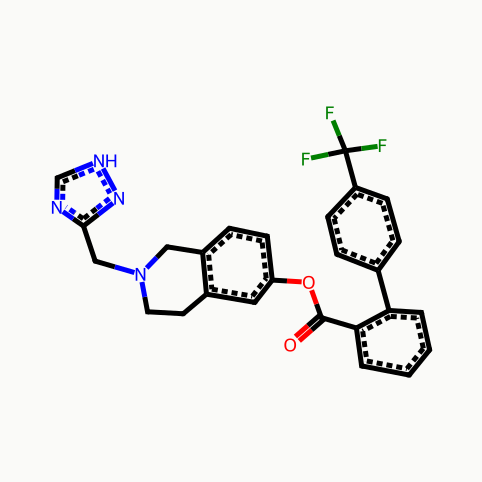 O=C(Oc1ccc2c(c1)CCN(Cc1nc[nH]n1)C2)c1ccccc1-c1ccc(C(F)(F)F)cc1